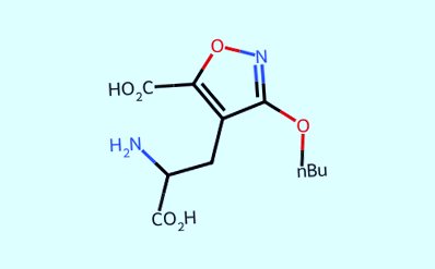 CCCCOc1noc(C(=O)O)c1CC(N)C(=O)O